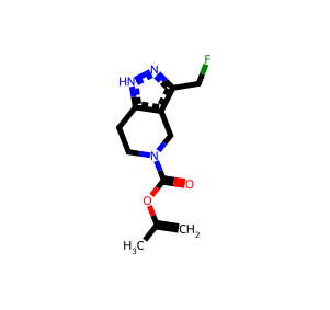 C=C(C)OC(=O)N1CCc2[nH]nc(CF)c2C1